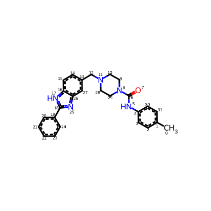 Cc1ccc(NC(=O)N2CCN(Cc3ccc4[nH]c(-c5ccccc5)nc4c3)CC2)cc1